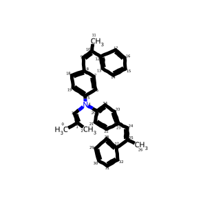 CC(C)=CN(c1ccc(/C=C(/C)c2ccccc2)cc1)c1ccc(/C=C(/C)c2ccccc2)cc1